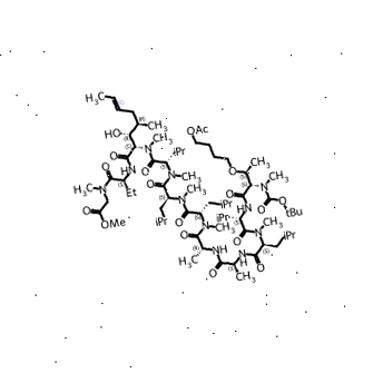 C/C=C/C[C@@H](C)[C@@H](O)[C@@H](C(=O)N[C@@H](CC)C(=O)N(C)CC(=O)OC)N(C)C(=O)[C@H](C(C)C)N(C)C(=O)[C@H](CC(C)C)N(C)C(=O)[C@H](CC(C)C)N(C)C(=O)[C@@H](C)NC(=O)[C@H](C)NC(=O)[C@H](CC(C)C)N(C)C(=O)[C@@H](NC(=O)[C@H]([C@H](C)OCCCCOC(C)=O)N(C)C(=O)OC(C)(C)C)C(C)C